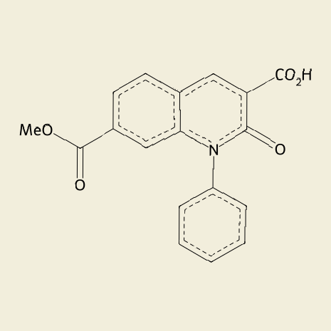 COC(=O)c1ccc2cc(C(=O)O)c(=O)n(-c3ccccc3)c2c1